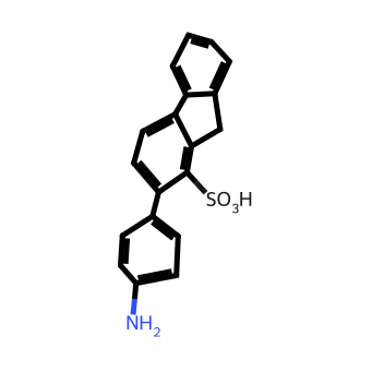 Nc1ccc(-c2ccc3c(c2S(=O)(=O)O)Cc2ccccc2-3)cc1